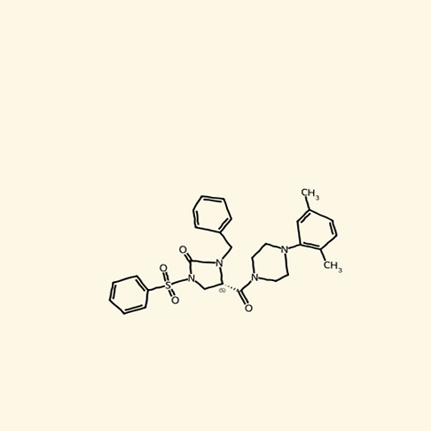 Cc1ccc(C)c(N2CCN(C(=O)[C@@H]3CN(S(=O)(=O)c4ccccc4)C(=O)N3Cc3ccccc3)CC2)c1